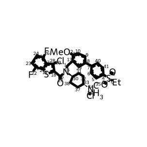 CCS(=O)(=O)c1ccc(-c2ccc(OC)c(CN(C(=O)c3sc4c(F)ccc(F)c4c3Cl)[C@H]3CC[C@H](N(C)Cl)CC3)c2)cc1